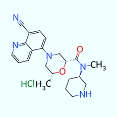 C[C@@H]1CN(c2ccc(C#N)c3ncccc23)C[C@H](C(=O)N(C)[C@@H]2CCCNC2)O1.Cl